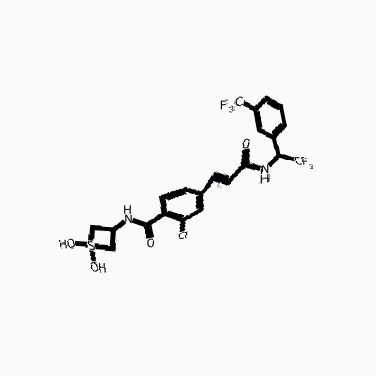 O=C(/C=C/c1ccc(C(=O)NC2CS(O)(O)C2)c(Cl)c1)NC(c1cccc(C(F)(F)F)c1)C(F)(F)F